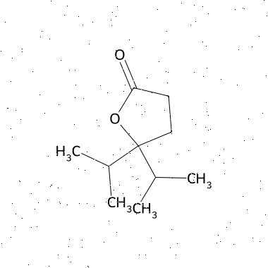 CC(C)C1(C(C)C)CCC(=O)O1